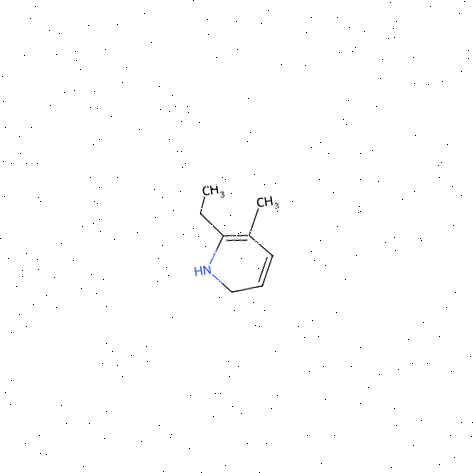 CCC1=C(C)C=CCN1